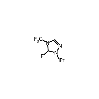 CC(C)N1N=CN(C(F)(F)F)C1F